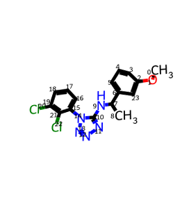 COc1cccc(C(C)Nc2nnnn2-c2cccc(Cl)c2Cl)c1